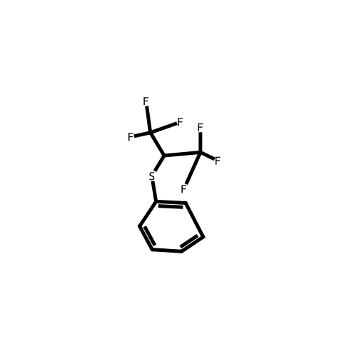 FC(F)(F)C(Sc1ccccc1)C(F)(F)F